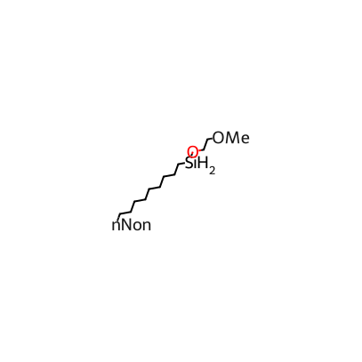 CCCCCCCCCCCCCCCCCC[SiH2]OCCOC